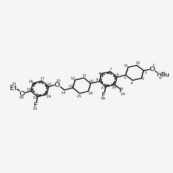 CCCCOC1CCC(c2ccc(C3CCC(COc4ccc(OCC)c(F)c4)CC3)c(F)c2F)CC1